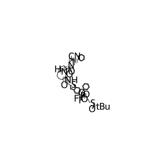 CC(C)(C)C(=O)SCCOP(=O)(Oc1ccccc1)C(F)(F)c1ccc2sc(C(=O)N[C@H]3CCCC[C@H]4CC[C@@H](C(=O)N5C[C@@H](C#N)[C@H](c6ccccc6)C5)N4C3=O)cc2c1